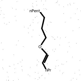 CCC/C=C/OCCCCCCCC